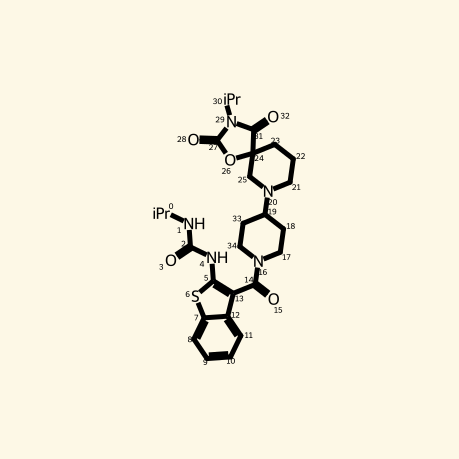 CC(C)NC(=O)Nc1sc2ccccc2c1C(=O)N1CCC(N2CCCC3(C2)OC(=O)N(C(C)C)C3=O)CC1